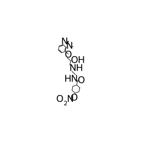 Cn1cnc2cccc(OCC(O)CNCCNC(=O)C3CCC(O[N+](=O)[O-])CC3)c21